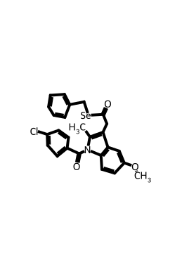 COc1ccc2c(c1)c(CC(=O)[Se]Cc1ccccc1)c(C)n2C(=O)c1ccc(Cl)cc1